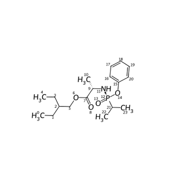 CCC(CC)COC(=O)[C@H](C)N[P@@](=O)(Oc1ccccc1)C(C)C